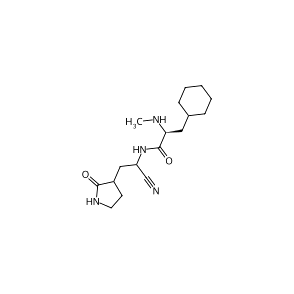 CN[C@@H](CC1CCCCC1)C(=O)NC(C#N)CC1CCNC1=O